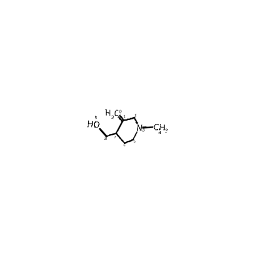 C=C1CN(C)CCC1CO